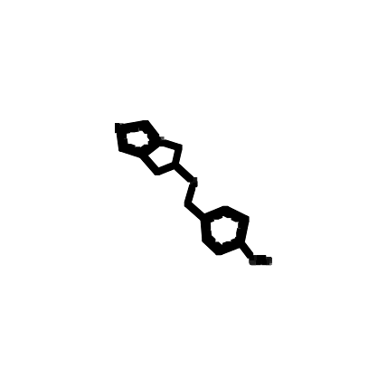 COc1ccc(CSC2Cc3cncn3C2)cc1